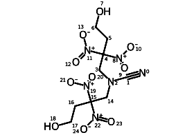 N#CN(CC(CCO)([N+](=O)[O-])[N+](=O)[O-])CC(CCO)([N+](=O)[O-])[N+](=O)[O-]